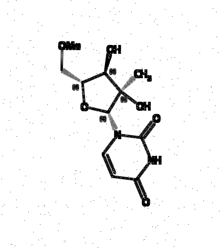 COC[C@H]1O[C@@H](n2ccc(=O)[nH]c2=O)[C@](C)(O)[C@@H]1O